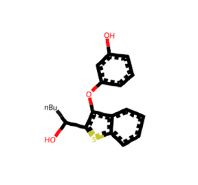 CCCCC(O)c1sc2ccccc2c1Oc1cccc(O)c1